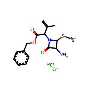 C=C(C)C(C(=O)OCc1ccccc1)N1C(=O)C(N)C1[S][Hg+].Cl.[Cl-]